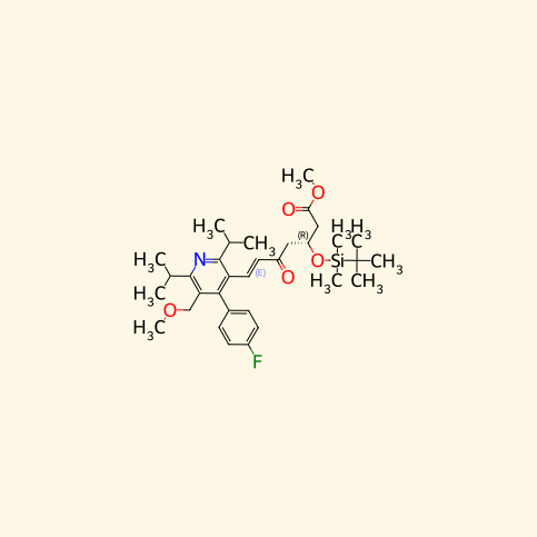 COCc1c(C(C)C)nc(C(C)C)c(/C=C/C(=O)C[C@H](CC(=O)OC)O[Si](C)(C)C(C)(C)C)c1-c1ccc(F)cc1